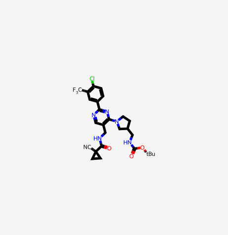 CC(C)(C)OC(=O)NCC1CCN(c2nc(-c3ccc(Cl)c(C(F)(F)F)c3)ncc2CNC(=O)C2(C#N)CC2)C1